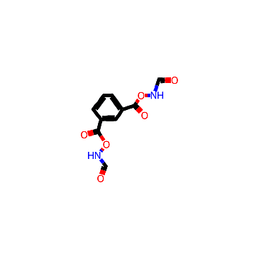 O=CNOC(=O)c1cccc(C(=O)ONC=O)c1